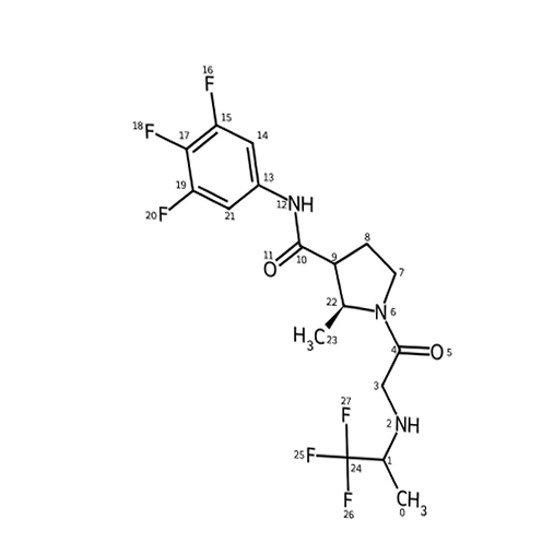 CC(NCC(=O)N1CCC(C(=O)Nc2cc(F)c(F)c(F)c2)[C@@H]1C)C(F)(F)F